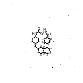 NOC(=O)NC1CCN(Cc2ccc3cncc(-c4ccc(N)cc4)c3c2)CC1